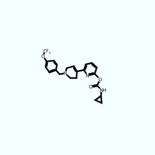 O=C(NC1CC1)Oc1cccc(C2=CCN(Cc3ccc(OC(F)(F)F)cc3)CC2)n1